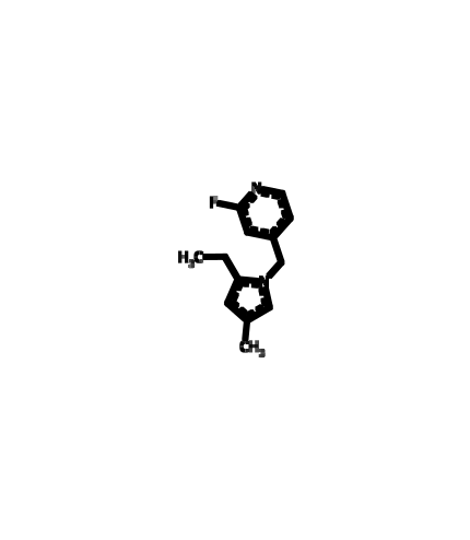 CCc1cc(C)cn1Cc1ccnc(F)c1